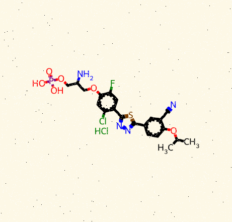 CC(C)Oc1ccc(-c2nnc(-c3cc(F)c(OCC(N)COP(=O)(O)O)cc3Cl)s2)cc1C#N.Cl